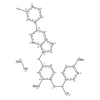 COc1ccc(C(C)Oc2ccc(Cn3cnc4cc(-c5ccnc(F)c5)cnc43)cc2OC)cn1.O=CO